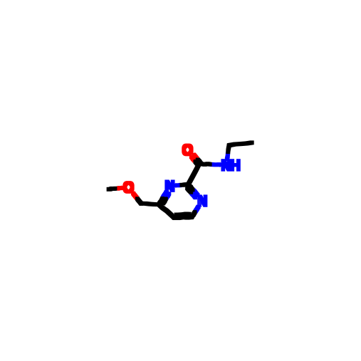 CCNC(=O)c1nccc(COC)n1